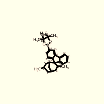 CC1CC2CC(C)C3(c4ccccc4-c4cc(B5OC(C)(C)C(C)(C)O5)ccc43)C(C1)C2